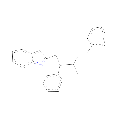 C[C](CCc1ccccc1)C(Cc1cc2ccccc2[nH]1)c1ccccc1